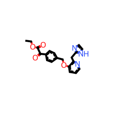 CCOC(=O)C(=O)c1ccc(COc2cccnc2Cc2ncc[nH]2)cc1